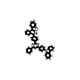 c1ccc(-c2cc(-c3ccc(-n4c5ccccc5c5ccccc54)cc3)nc(-c3ccc(-c4nc5oc6ccccc6c5c5ccccc45)cc3)n2)cc1